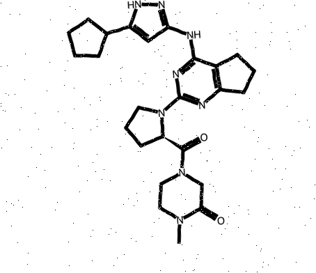 CN1CCN(C(=O)[C@H]2CCCN2c2nc3c(c(Nc4cc(C5CCCC5)[nH]n4)n2)CCC3)CC1=O